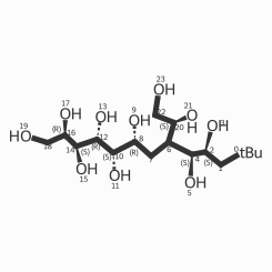 CC(C)(C)C[C@H](O)[C@@H](O)C(C[C@@H](O)[C@H](O)[C@@H](O)[C@@H](O)[C@H](O)CO)[C@H](O)CO